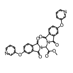 COC(=O)C(N1C(=O)c2ccc(Oc3cccnc3)cc2C1=O)N1C(=O)c2ccc(Oc3cccnc3)cc2C1=O